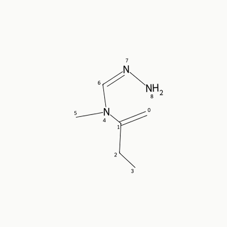 C=C(CC)N(C)/C=N\N